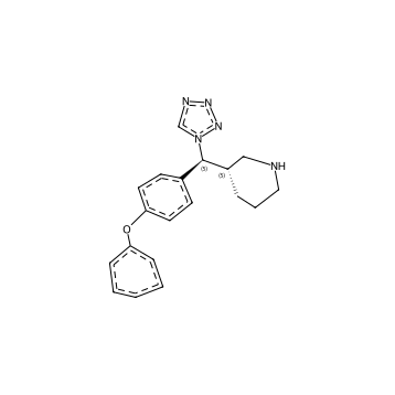 c1ccc(Oc2ccc([C@H]([C@H]3CCCNC3)n3cnnn3)cc2)cc1